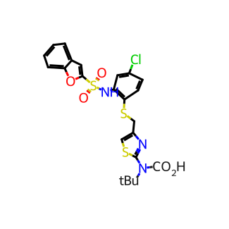 CC(C)(C)N(C(=O)O)c1nc(CSc2ccc(Cl)cc2NS(=O)(=O)c2cc3ccccc3o2)cs1